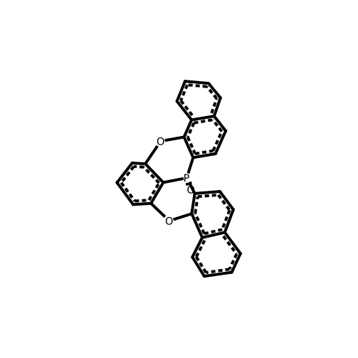 O=P12c3ccc4ccccc4c3Oc3cccc(c31)Oc1c2ccc2ccccc12